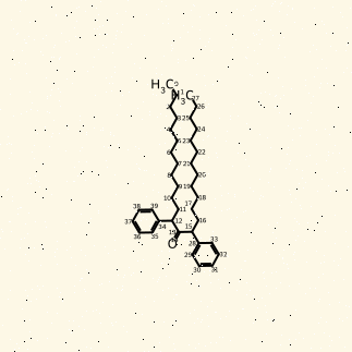 CCCCCCCCCCCCC(C(=O)C(CCCCCCCCCCCC)c1ccccc1)c1ccccc1